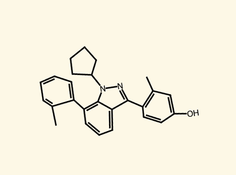 Cc1cc(O)ccc1-c1nn(C2CCCC2)c2c(-c3ccccc3C)cccc12